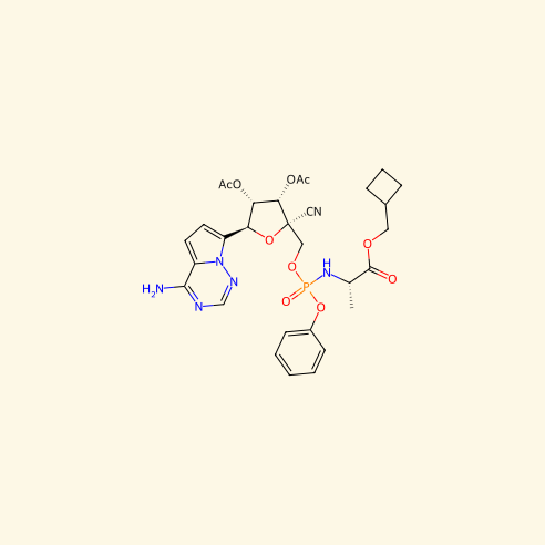 CC(=O)O[C@H]1[C@H](c2ccc3c(N)ncnn23)O[C@](C#N)(COP(=O)(N[C@@H](C)C(=O)OCC2CCC2)Oc2ccccc2)[C@H]1OC(C)=O